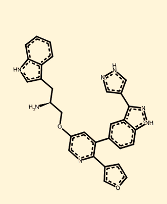 N[C@H](COc1cnc(-c2ccoc2)c(-c2ccc3[nH]nc(-c4cn[nH]c4)c3c2)c1)Cc1c[nH]c2ccccc12